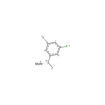 CN[C@@H](C)c1cc(F)cc(F)c1